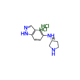 Cl.Cl.c1cc2[nH]ncc2cc1N[C@@H]1CCNC1